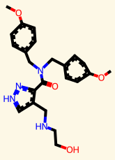 COc1ccc(CN(Cc2ccc(OC)cc2)C(=O)c2n[nH]cc2CNCCO)cc1